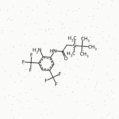 CC(C)(C)[Si](C)(C)CC(=O)Nc1cc(C(F)(F)F)cc(C(F)(F)F)c1N